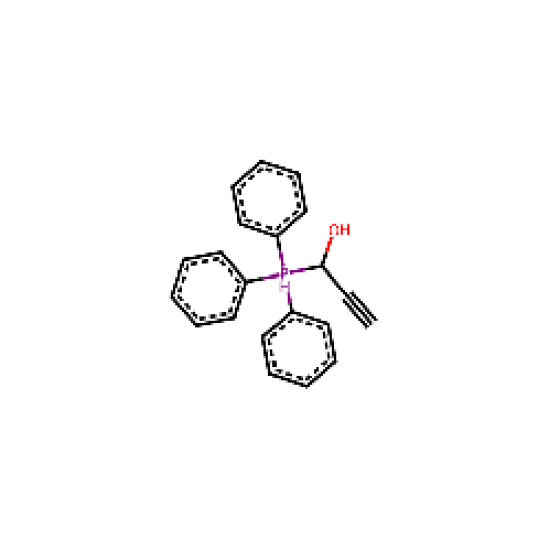 C#CC(O)[PH](c1ccccc1)(c1ccccc1)c1ccccc1